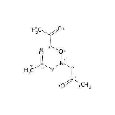 CC(=O)CON(CC(C)=O)CC(C)=O